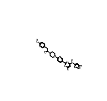 COc1ccc(CC(=O)N2CCN(c3ccc(-c4nc(C)cc(Nc5cc(C)[nH]n5)n4)cn3)CC2)cn1